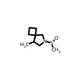 CC1CN([S+](C)[O-])CC12CCC2